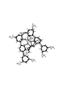 CCCC1=Cc2c(-c3cc(C)cc(C)c3)ccc(-c3cc(C)cc(C)c3)c2[CH]1[Zr]([CH3])([CH3])(=[SiH2])[CH]1C(CCC)=Cc2c(-c3cc(C)cc(C)c3)ccc(-c3cc(C)cc(C)c3)c21